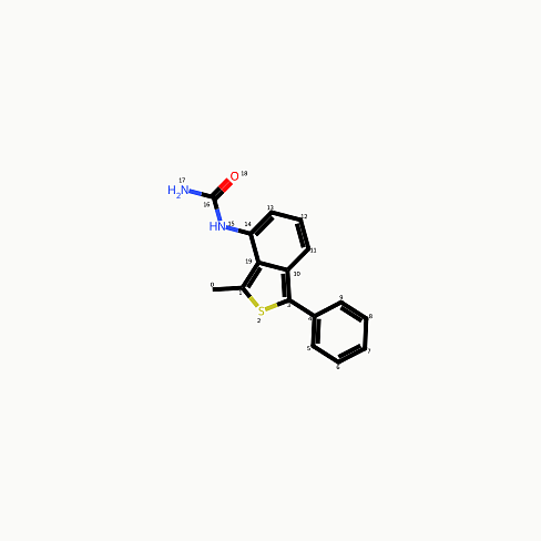 Cc1sc(-c2ccccc2)c2cccc(NC(N)=O)c12